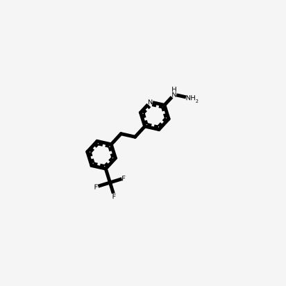 NNc1ccc(CCc2cccc(C(F)(F)F)c2)cn1